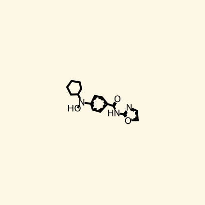 O=C(Nc1ncco1)c1ccc(N(O)C2CCCCC2)cc1